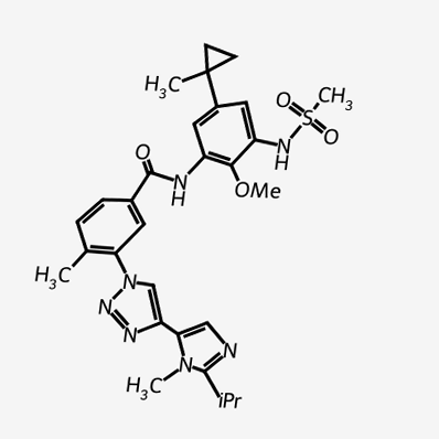 COc1c(NC(=O)c2ccc(C)c(-n3cc(-c4cnc(C(C)C)n4C)nn3)c2)cc(C2(C)CC2)cc1NS(C)(=O)=O